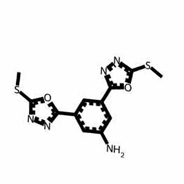 CSc1nnc(-c2cc(N)cc(-c3nnc(SC)o3)c2)o1